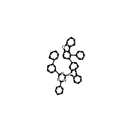 c1ccc(-c2cccc(-c3nc(-c4ccccc4)nc(-n4c5ccccc5c5ccc(-c6ccc7oc8ccccc8c7c6-c6ccccc6)cc54)n3)c2)cc1